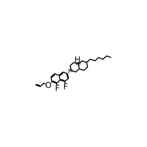 C=CCOc1ccc2cc([C@@H]3CC[C@@H]4CC(CCCCCC)CCC4C3)cc(F)c2c1F